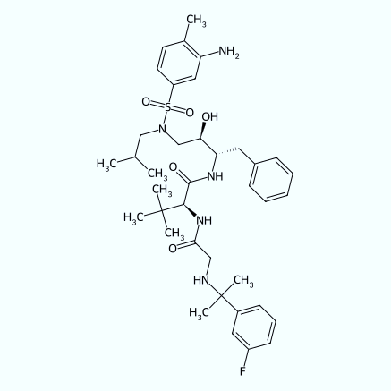 Cc1ccc(S(=O)(=O)N(CC(C)C)C[C@@H](O)[C@H](Cc2ccccc2)NC(=O)[C@@H](NC(=O)CNC(C)(C)c2cccc(F)c2)C(C)(C)C)cc1N